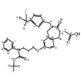 CC(C)(C)OC(=O)N(CCCOc1ccc2c(c1)CN(Cc1ccc(C(F)(F)F)cc1)C(=O)[C@H](CC(=O)O)C2)c1ccccn1